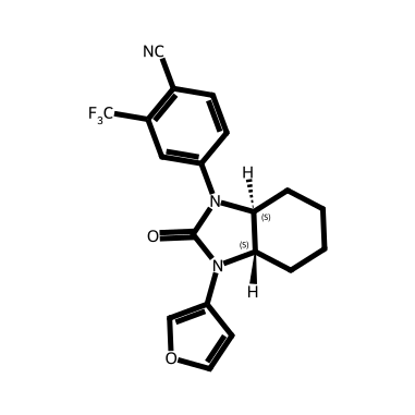 N#Cc1ccc(N2C(=O)N(c3ccoc3)[C@H]3CCCC[C@@H]32)cc1C(F)(F)F